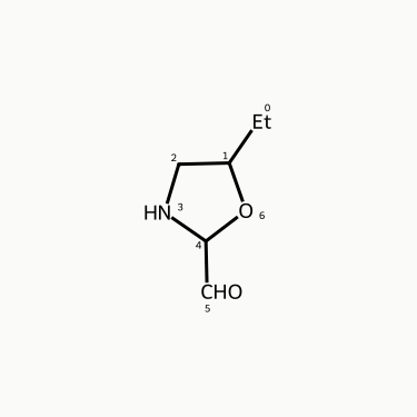 CCC1CNC(C=O)O1